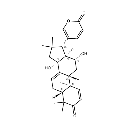 CC1(C)C[C@]2(O)C3=CC[C@H]4C(C)(C)C(=O)C=C[C@]4(C)[C@H]3C[C@@H](O)[C@]2(C)[C@H]1c1ccc(=O)oc1